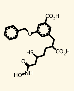 O=C(CC(S)CCC(Cc1cc(OCc2ccccc2)cc(C(=O)O)c1)C(=O)O)NO